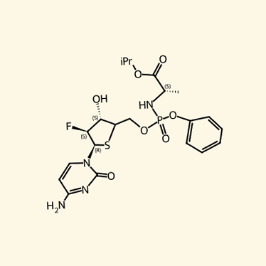 CC(C)OC(=O)[C@H](C)NP(=O)(OCC1S[C@@H](n2ccc(N)nc2=O)[C@@H](F)[C@@H]1O)Oc1ccccc1